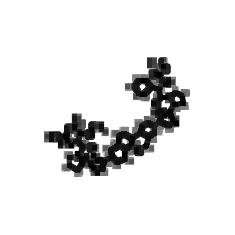 COC(=O)N[C@@H](C(=O)N1CCC[C@H]1c1ncc(-c2ccc3c(c2)COc2c-3ccc3cc(-c4cnc([C@@H]5CCCN5C(=O)[C@@H](NC(=O)O)[C@@H](C)OC)[nH]4)ccc23)[nH]1)c1ccccc1